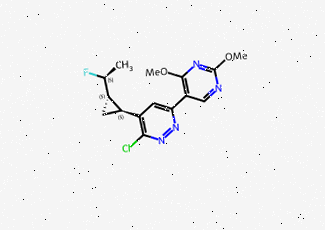 COc1ncc(-c2cc([C@H]3C[C@@H]3[C@H](C)F)c(Cl)nn2)c(OC)n1